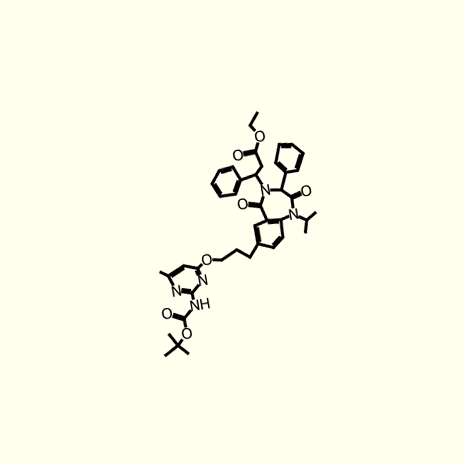 CCOC(=O)CC(c1ccccc1)N1C(=O)c2cc(CCCOc3cc(C)nc(NC(=O)OC(C)(C)C)n3)ccc2N(C(C)C)C(=O)C1c1ccccc1